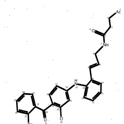 CC(=O)CCC(=O)NCC=Cc1ccccc1Nc1ccc(C(=O)c2ccccc2C)c(Cl)c1